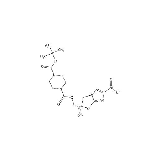 CC(C)(C)OC(=O)N1CCN(C(=O)OC[C@@]2(C)Cn3cc([N+](=O)[O-])nc3O2)CC1